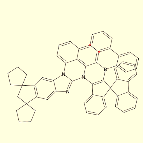 c1ccc(-c2ccccc2B2C3=C(c4ccccc4C34c3ccccc3-c3ccccc34)n3c4c2ccc2cccc(c24)n2c4cc5c(cc4nc32)C2(CCCC2)CC52CCCC2)cc1